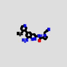 Cc1ccncc1-c1cc(N)c2nnc(NC(=O)C3CCN3CC#N)cc2c1